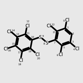 Clc1cc(Cl)c(Cl)c(SSc2c(Cl)c(Cl)c(Cl)c(Cl)c2Cl)c1Cl